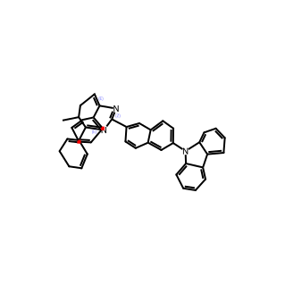 CC1C/C=C(c2ccccc2)/N=C(c2ccc3cc(-n4c5ccccc5c5ccccc54)ccc3c2)\N=C/1C1=CCCC=C1